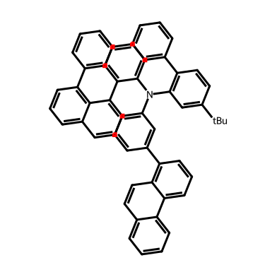 CC(C)(C)c1ccc(-c2ccccc2)c(N(c2cccc(-c3cccc4c3ccc3ccccc34)c2)c2ccccc2-c2cccc3cccc(-c4ccccc4)c23)c1